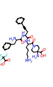 NCCCCC(NC(=O)C(CC#Cc1ccccc1)NC(=O)C(N)Cc1ccccc1)C(=O)N1CCC(N)(C(=O)O)CC1.O=C(O)C(F)(F)F